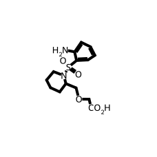 Nc1ccccc1S(=O)(=O)N1CCCCC1COCC(=O)O